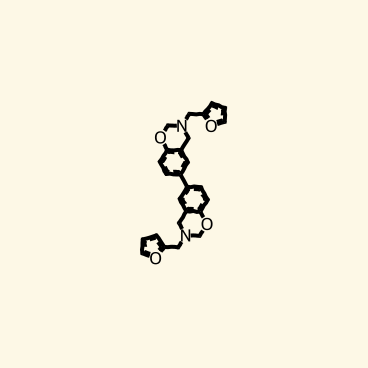 c1coc(CN2COc3ccc(-c4ccc5c(c4)CN(Cc4ccco4)CO5)cc3C2)c1